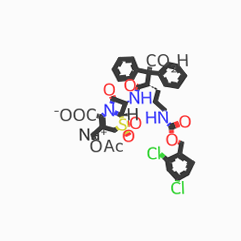 CC(=O)OCC1=C(C(=O)[O-])N2C(=O)[C@H](NC(=O)[C@@H](CCCNC(=O)OCc3ccc(Cl)cc3Cl)C(C(=O)O)(c3ccccc3)c3ccccc3)[C@@H]2S(=O)(=O)C1.[Na+]